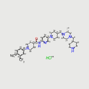 C[C@@H]1CN(CC2CCNCC2)CCN1CC1CCN(c2ccc(NC(=O)C3CCN(c4ccc(C#N)c(C(F)(F)F)c4)CC3)nc2)CC1.Cl